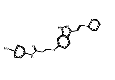 CC(=O)c1ccc(NC(=O)CCSc2ccc3c(C=Cc4ccccn4)n[nH]c3c2)cc1